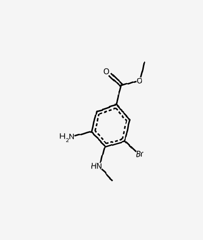 CNc1c(N)cc(C(=O)OC)cc1Br